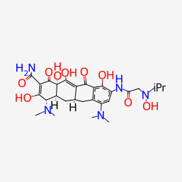 CC(C)N(O)CC(=O)Nc1cc(N(C)C)c2c(c1O)C(=O)C1=C(O)[C@]3(O)C(=O)C(C(N)=O)=C(O)[C@@H](N(C)C)[C@@H]3C[C@@H]1C2